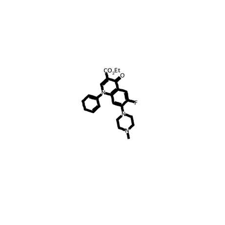 CCOC(=O)c1cn(C2=CCCC=C2)c2cc(N3CCN(C)CC3)c(F)cc2c1=O